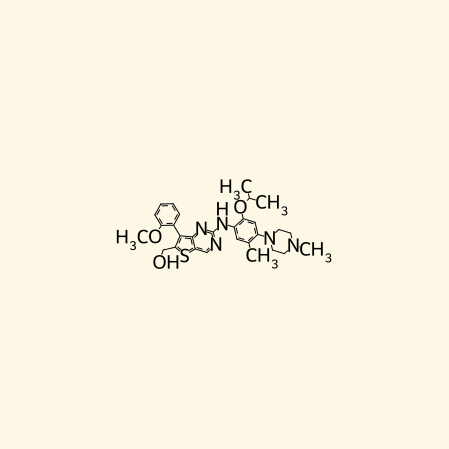 COc1ccccc1-c1c(CO)sc2cnc(Nc3cc(C)c(N4CCN(C)CC4)cc3OC(C)C)nc12